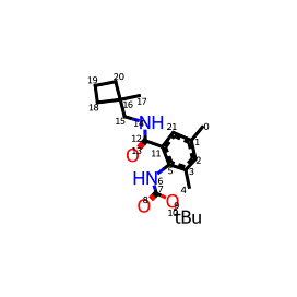 Cc1cc(C)c(NC(=O)OC(C)(C)C)c(C(=O)NCC2(C)CCC2)c1